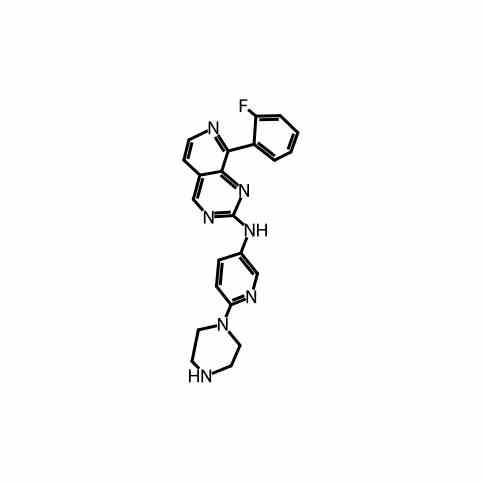 Fc1ccccc1-c1nccc2cnc(Nc3ccc(N4CCNCC4)nc3)nc12